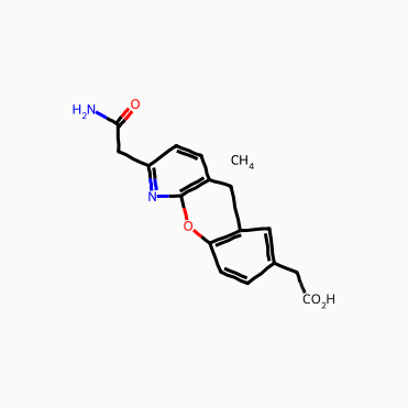 C.NC(=O)Cc1ccc2c(n1)Oc1ccc(CC(=O)O)cc1C2